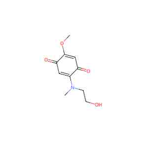 COC1=CC(=O)C(N(C)CCO)=CC1=O